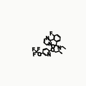 CCN(C(=O)c1cccc(F)c1-c1ncccn1)[C@@H](C)COc1ccc(OC(F)(F)F)cn1